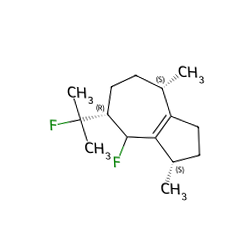 C[C@H]1CC[C@@H](C(C)(C)F)C(F)C2=C1CC[C@@H]2C